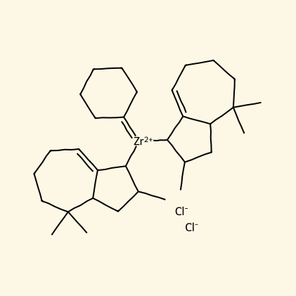 CC1CC2C(=CCCCC2(C)C)[CH]1[Zr+2](=[C]1CCCCC1)[CH]1C2=CCCCC(C)(C)C2CC1C.[Cl-].[Cl-]